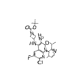 Cc1ccnc(C(C)C)c1-n1c(=O)c(N)c(NC2CN(C(=O)OC(C)(C)C)C2)c2cc(F)c(Cl)nc21